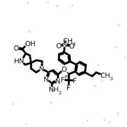 CCCc1ccc(-c2cccc(S(C)(=O)=O)c2)c([C@@H](Oc2cc(N3CCC4(CC3)CNC(C(=O)O)C4)nc(N)n2)C(F)(F)F)c1